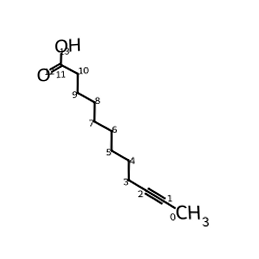 CC#CCCCCCCCCC(=O)O